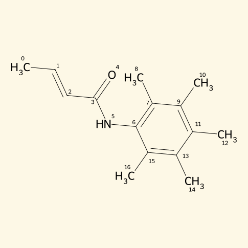 CC=CC(=O)Nc1c(C)c(C)c(C)c(C)c1C